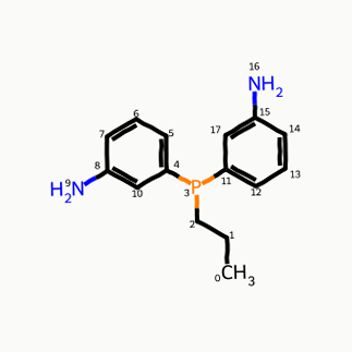 CCCP(c1cccc(N)c1)c1cccc(N)c1